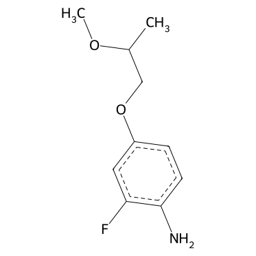 COC(C)COc1ccc(N)c(F)c1